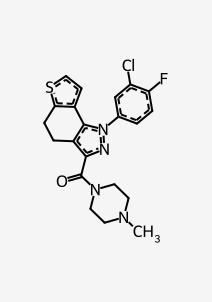 CN1CCN(C(=O)c2nn(-c3ccc(F)c(Cl)c3)c3c2CCc2sccc2-3)CC1